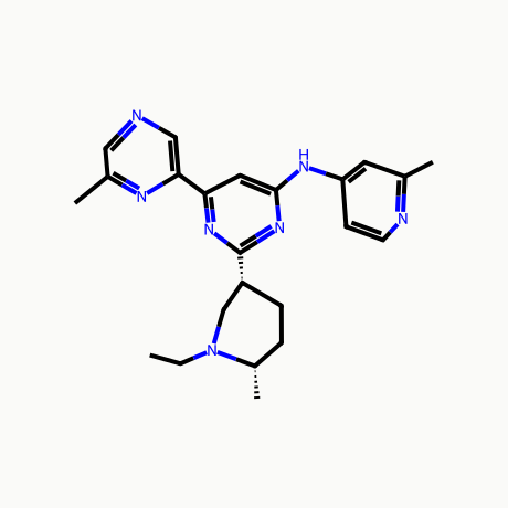 CCN1C[C@H](c2nc(Nc3ccnc(C)c3)cc(-c3cncc(C)n3)n2)CC[C@@H]1C